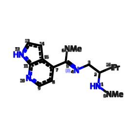 CNNC(C/N=C(\NC)c1ccnc2[nH]ccc12)C(C)C